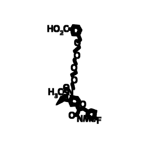 CNC(=O)c1c(-c2ccc(F)cc2)oc2cc(N(CCOCCOCCOCCOCc3cccc(C(=O)O)c3)S(C)(=O)=O)c(C3CC3)cc12